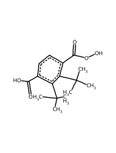 CC(C)(C)c1c(C(=O)O)ccc(C(=O)OO)c1C(C)(C)C